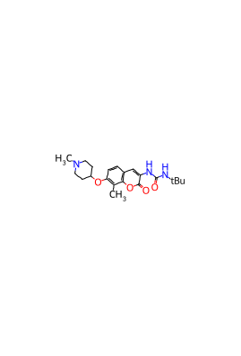 Cc1c(OC2CCN(C)CC2)ccc2cc(NC(=O)NC(C)(C)C)c(=O)oc12